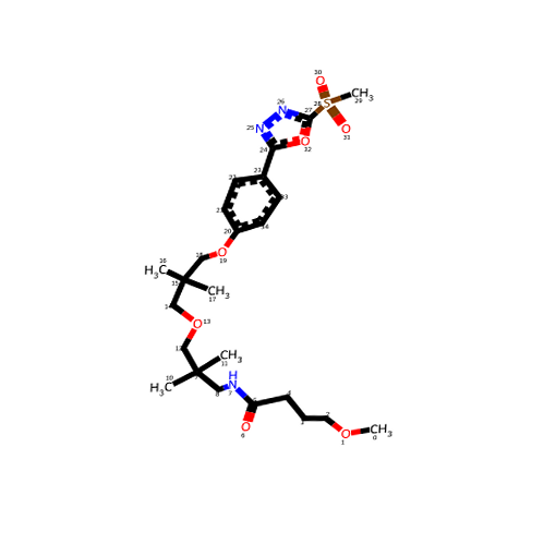 COCCCC(=O)NCC(C)(C)COCC(C)(C)COc1ccc(-c2nnc(S(C)(=O)=O)o2)cc1